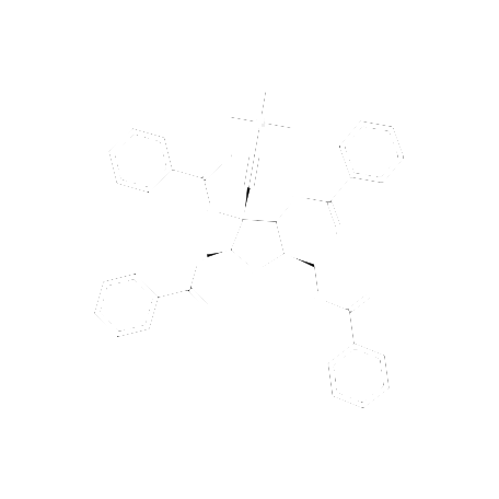 C[Si](C)(C)C#C[C@@]1(OC(=O)c2ccccc2)C(OC(=O)c2ccccc2)[C@@H](COC(=O)c2ccccc2)O[C@H]1OC(=O)c1ccccc1